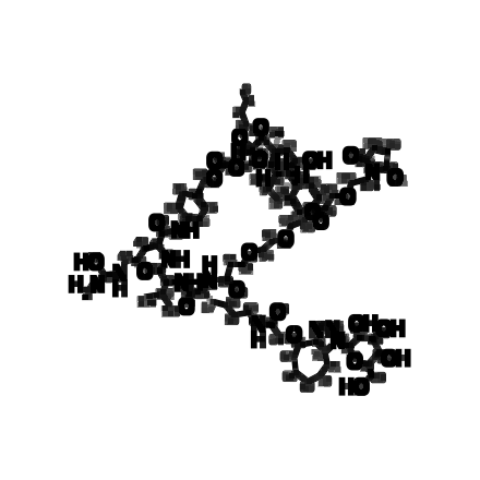 CCCC1O[C@@H]2C[C@H]3[C@@H]4CCC5=CC(=O)C=C[C@]5(C)[C@H]4[C@@H](O)C[C@]3(C)[C@]2(C(=O)COC(=O)OCc2ccc(NC(=O)[C@H](CCCNC(N)O)NC(=O)[C@@H](NC(=O)[C@@H](CCCCNC(=O)COC3CCCCCc4c3nnn4C3O[C@H](CO)[C@H](O)[C@H](O)[C@H]3O)NC(=O)CCOCCOCCOCCOCCN3C(=O)C=CC3=O)C(C)C)cc2)O1